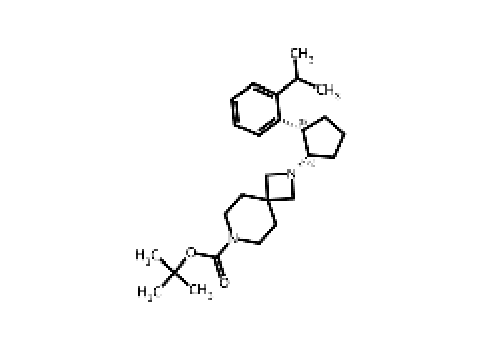 CC(C)c1ccccc1[C@@H]1CCC[C@@H]1N1CC2(CCN(C(=O)OC(C)(C)C)CC2)C1